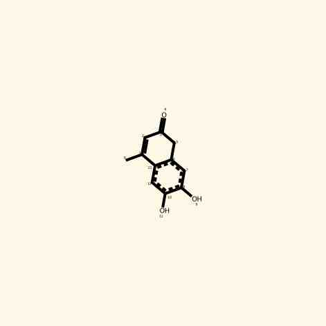 CC1=CC(=O)Cc2cc(O)c(O)cc21